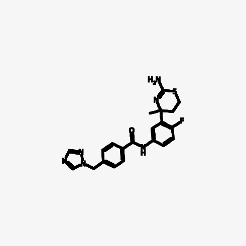 CC1(c2cc(NC(=O)c3ccc(Cn4cncn4)cc3)ccc2F)CCSC(N)=N1